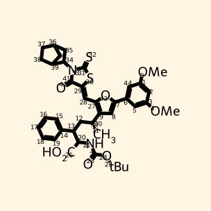 COc1cc(OC)cc(-c2cc([C@@H](C)CC(c3ccccc3)C(NC(=O)OC(C)(C)C)C(=O)O)c(C=C3SC(=S)N(C4CC5CCC4C5)C3=O)o2)c1